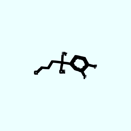 CC(C)C(C#N)(CCCCl)c1ccc(F)c(F)c1